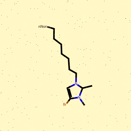 CCCCCCCCCCCCCCCCN1C=C(Br)N(C)C1C